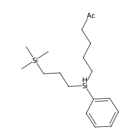 CC(=O)CCCC[SiH](CCC[Si](C)(C)C)c1ccccc1